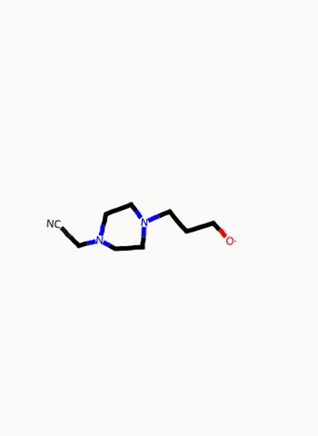 N#CCN1CCN(CCC[O])CC1